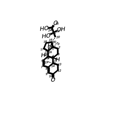 C[C@]12CC[C@H]3[C@@H](C=CC4=CC(=O)CC[C@@]43C)[C@@H]1CC[C@@H]2CC(O)(O)C(=O)O